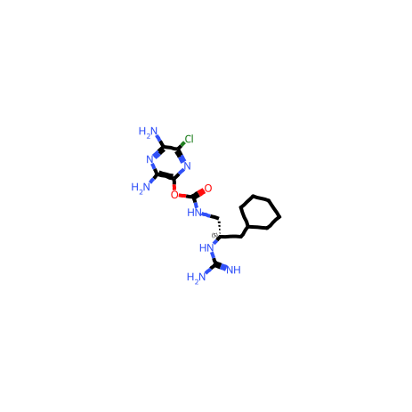 N=C(N)N[C@H](CNC(=O)Oc1nc(Cl)c(N)nc1N)CC1CCCCC1